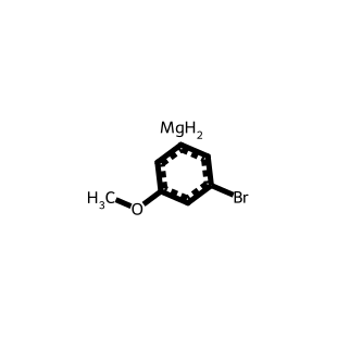 COc1cccc(Br)c1.[MgH2]